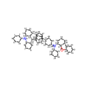 c1ccc(N2c3ccccc3C3(c4ccccc4)c4cc(-c5ccc(N(c6ccccc6)c6cccc7c6oc6ccccc67)cc5)ccc4-c4cccc2c43)cc1